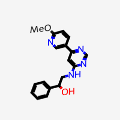 COc1ccc(-c2cc(NCC(O)c3ccccc3)ncn2)cn1